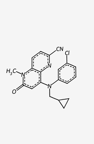 Cn1c(=O)cc(N(CC2CC2)c2cccc(Cl)c2)c2nc(C#N)ccc21